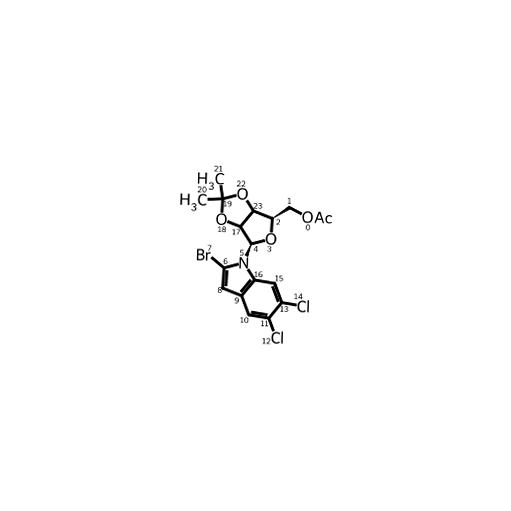 CC(=O)OC[C@H]1O[C@@H](n2c(Br)cc3cc(Cl)c(Cl)cc32)C2OC(C)(C)OC21